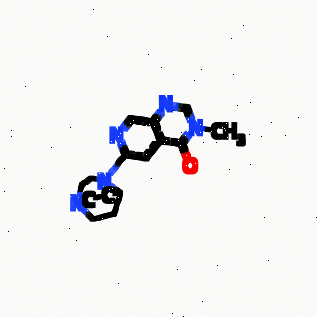 Cn1cnc2cnc(N3CCN4CCC3CC4)cc2c1=O